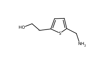 NCc1ccc([CH]CO)s1